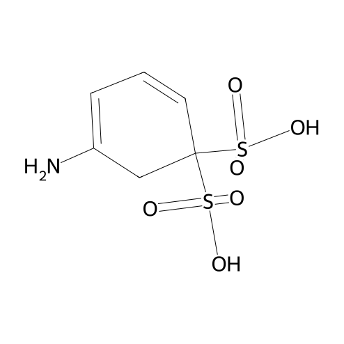 NC1=CC=CC(S(=O)(=O)O)(S(=O)(=O)O)C1